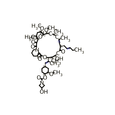 CC/C=C/C[C@@H]1/C=C(\C)C[C@H](C)C[C@H](OC)[C@H]2O[C@@](O)(C(=O)C(=O)N3CCCC[C@H]3C(=O)O[C@H](/C(C)=C/[C@@H]3CC[C@@H](OC(=O)N4CC(O)C4)[C@H](OC)C3)[C@H](C)[C@@H](O)CC1=O)[C@H](C)C[C@@H]2OC